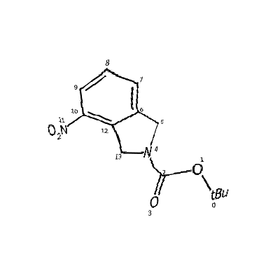 CC(C)(C)OC(=O)N1Cc2cccc([N+](=O)[O-])c2C1